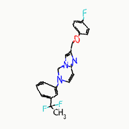 CC(F)(F)c1cccc(N2C=Cc3nc(COc4ccc(F)cc4)cn3C2)c1